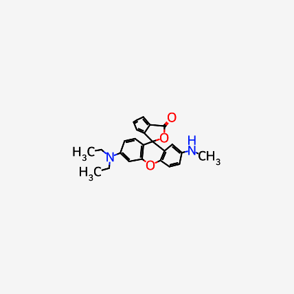 CCN(CC)c1ccc2c(c1)Oc1ccc(NC)cc1C21OC(=O)c2ccccc21